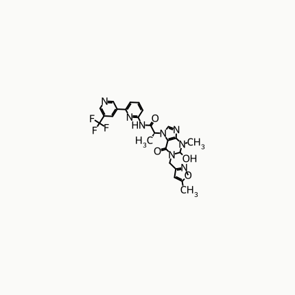 Cc1cc(CN2C(=O)c3c(ncn3[C@@H](C)C(=O)Nc3cccc(-c4cncc(C(F)(F)F)c4)n3)N(C)C2O)no1